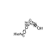 CNC(=O)c1ccc(-c2ccc(NCc3oc(Cn4cc(CO)nn4)cc(=O)c3O)cc2)cc1